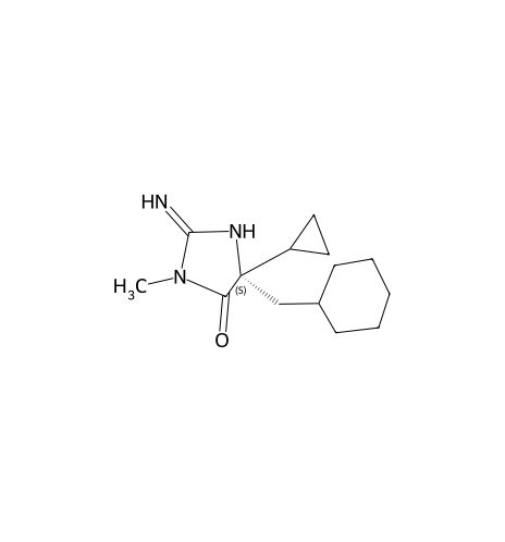 CN1C(=N)N[C@@](CC2CCCCC2)(C2CC2)C1=O